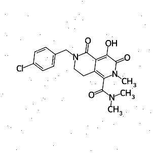 CN(C)C(=O)c1c2c(c(O)c(=O)n1C)C(=O)N(Cc1ccc(Cl)cc1)CC2